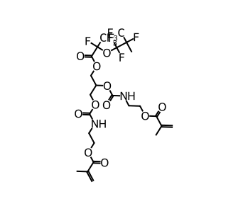 C=C(C)C(=O)OCCNC(=O)OCC(COC(=O)C(F)(OC(F)(F)C(C)(F)C(F)(F)F)C(F)(F)F)OC(=O)NCCOC(=O)C(=C)C